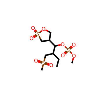 CCC(CS(C)(=O)=O)C(OS(=O)(=O)OC)C1COS(=O)(=O)C1